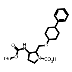 CC(C)(C)OC(=O)NC1CCN(C(=O)O)C1COC1CCC(c2ccccc2)CC1